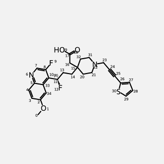 COc1ccc2ncc(F)c([C@H](F)CCC3(CC(=O)O)CCN(CC#Cc4cccs4)CC3)c2c1